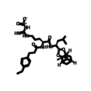 CCc1ccc(CCC(=O)N[C@@H](CCCNC(=N)N[N+](=O)[O-])C(=O)N[C@@H](CC(C)C)B2O[C@@H]3C[C@@H]4C[C@@H](C4(C)C)[C@]3(C)O2)cc1